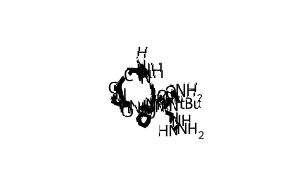 CC(C)(C)[C@H](NC(=O)[C@H](CCCNC(=N)N)NC(=O)[C@@H]1CCN2C=C(CCCCC(=O)N3CCC[C@H]3C(=O)N[C@@H](C3CCCCC3)C(=O)N1)NN2)C(N)=O